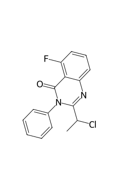 CC(Cl)c1nc2cccc(F)c2c(=O)n1-c1ccccc1